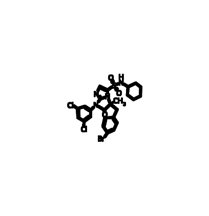 C[C@@]1(Cc2ccc(Br)cc2)C(=O)N(c2cc(Cl)cc(Cl)c2)c2ncc(S(=O)(=O)NC3CCCCC3)n21